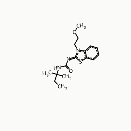 CCC(C)(C)NC(=O)/N=c1\sc2ccccc2n1CCOC